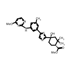 COC(=O)[C@H]1CC[C@](O)(c2ncc(-c3cc(C)cc(Nc4nccc(OC)n4)c3)s2)CC1(C)C